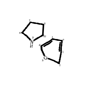 C1=CCOC=C1.C1CCNC1